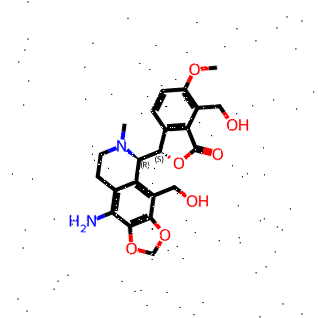 COc1ccc2c(c1CO)C(=O)O[C@@H]2[C@H]1c2c(c(N)c3c(c2CO)OCO3)CCN1C